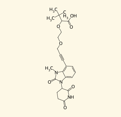 Cn1c(=O)n(C2CCC(=O)NC2=O)c2cccc(C#CCOCCOC(C(=O)O)C(C)(C)C)c21